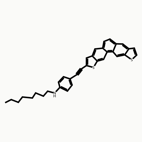 CCCCCCCCNc1ccc(C#Cc2cc3cc4ccc5cc6ccsc6cc5c4cc3s2)cc1